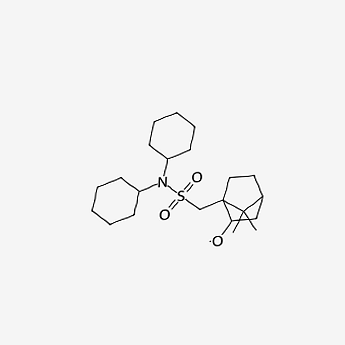 CC1(C)C2CCC1(CS(=O)(=O)N(C1CCCCC1)C1CCCCC1)C([O])C2